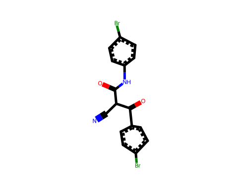 N#CC(C(=O)Nc1ccc(Br)cc1)C(=O)c1ccc(Br)cc1